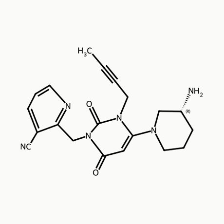 CC#CCn1c(N2CCC[C@@H](N)C2)cc(=O)n(Cc2ncccc2C#N)c1=O